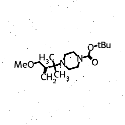 C=C(COC)C(C)(C)N1CCN(C(=O)OC(C)(C)C)CC1